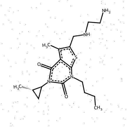 CCCCn1c(=O)n(C2C[C@@H]2C)c(=O)c2c(C)c(CNCCN)sc21